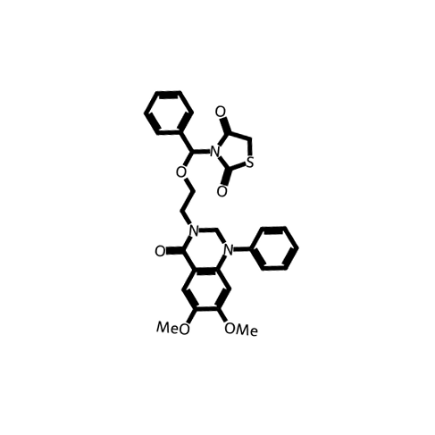 COc1cc2c(cc1OC)N(c1ccccc1)CN(CCOC(c1ccccc1)N1C(=O)CSC1=O)C2=O